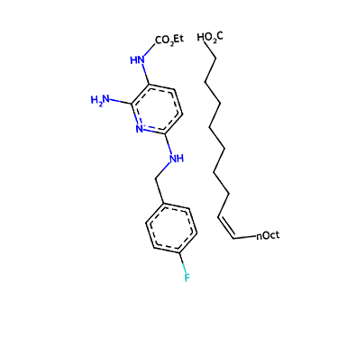 CCCCCCCC/C=C\CCCCCCCC(=O)O.CCOC(=O)Nc1ccc(NCc2ccc(F)cc2)nc1N